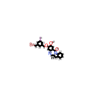 COc1cc2c(cc1OCc1cc(I)cc(CBr)c1)N=C[C@@H]1Cc3ccccc3N1C2=O